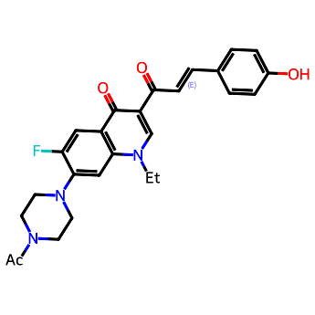 CCn1cc(C(=O)/C=C/c2ccc(O)cc2)c(=O)c2cc(F)c(N3CCN(C(C)=O)CC3)cc21